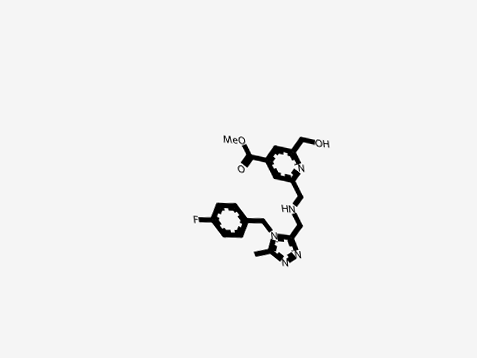 COC(=O)c1cc(CO)nc(CNCc2nnc(C)n2Cc2ccc(F)cc2)c1